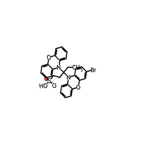 CCC(CCS(=O)(=O)O)(N1c2ccccc2Oc2ccccc21)N1c2ccccc2Oc2cc(Br)ccc21